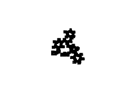 CCCCn1c(CN(Cc2ccccc2)Cc2cccc(OCC)c2)cnc1-c1ccccc1